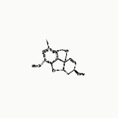 COc1cc(C)c2c3c1OC1C[C@H](OC(C)=O)C=CC31CNC2